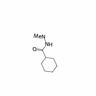 CNNC(=O)C1CCCCC1